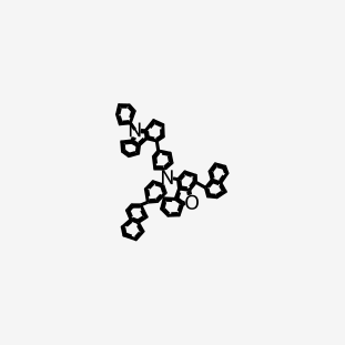 c1ccc(-n2c3ccccc3c3c(-c4ccc(N(c5ccc(-c6ccc7ccccc7c6)cc5)c5ccc(-c6cccc7ccccc67)c6oc7ccccc7c56)cc4)cccc32)cc1